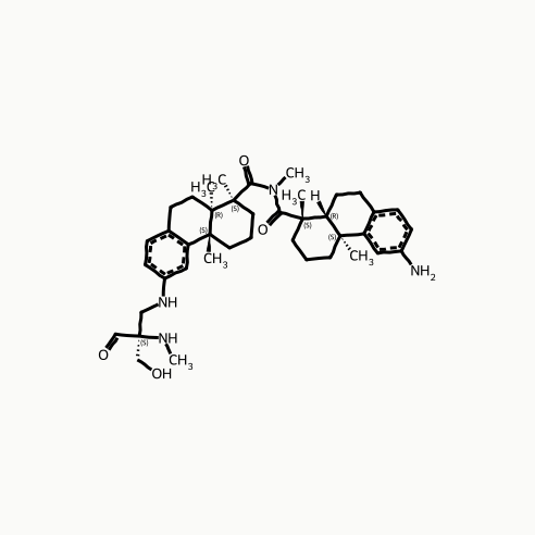 CN[C@](C=O)(CO)CNc1ccc2c(c1)[C@@]1(C)CCC[C@](C)(C(=O)N(C)C(=O)[C@@]3(C)CCC[C@]4(C)c5cc(N)ccc5CC[C@@H]34)[C@]1(C)CC2